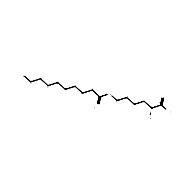 N[C@@H](CCCCNC(=O)CCCCCCCCI)C(=O)O